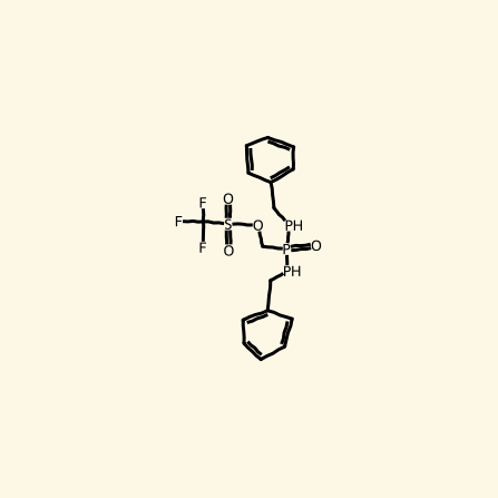 O=P(COS(=O)(=O)C(F)(F)F)(PCc1ccccc1)PCc1ccccc1